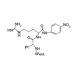 CCCCCNC(C(=O)NC(CCCNC(=N)N)C(=O)Nc1ccc([N+](=O)[O-])cc1)C(C)C